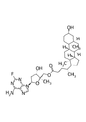 C[C@H](CCC(=O)OC[C@@]1(C)O[C@@H](n2cnc3c(N)nc(F)nc32)C[C@@H]1O)[C@H]1CC[C@H]2[C@@H]3CC[C@@H]4C[C@H](O)CC[C@]4(C)[C@H]3CC[C@]12C